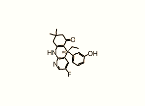 CC[C@]1(c2cccc(O)c2)C2=C(CC(C)(C)CC2=O)Nc2ncc(F)cc21